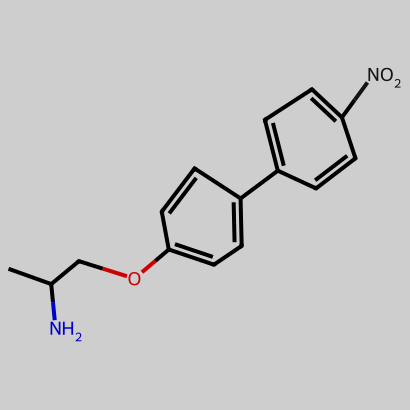 CC(N)COc1ccc(-c2ccc([N+](=O)[O-])cc2)cc1